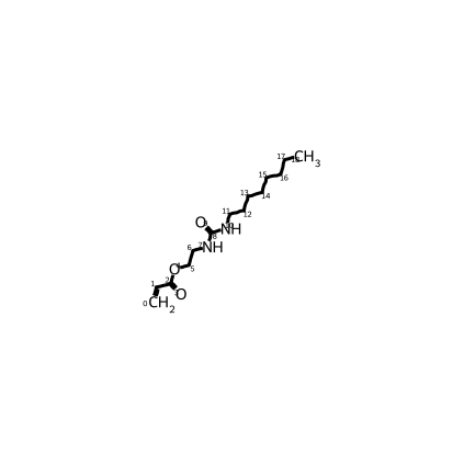 C=CC(=O)OCCNC(=O)NCCCCCCCC